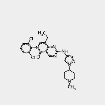 CCc1cn(-c2c(Cl)cccc2Cl)c(=O)c2cnc(Nc3cnn(C4CCN(C)CC4)c3)nc12